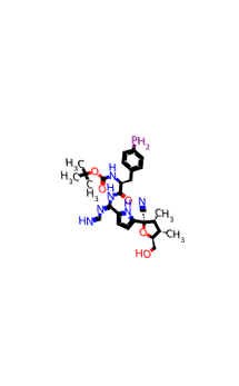 C[C@H]1[C@@H](C)[C@](C#N)(c2ccc(/C(=N\C=N)NC(=O)[C@H](Cc3ccc(P)cc3)NC(=O)OC(C)(C)C)[nH]2)O[C@@H]1CO